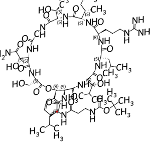 CC[C@H](C)[C@@H]1NC(=O)[C@@H](CCCNC(=N)N)NC(=O)[C@H](CC(C)C)NC(=O)[C@H]([C@H](O)C(C)C)NC(=O)[C@@H](NC(=O)[C@H](CC(C)C)NC(=O)CCNC(=O)OC(C)(C)C)[C@@H](c2ccccc2)OC(=O)[C@H](CO)NC(=O)[C@H]([C@H](O)C(N)=O)NC(=O)CNC(=O)[C@H]([C@H](C)O)NC1=O